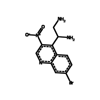 NCC(N)c1c([N+](=O)[O-])cnc2cc(Br)ccc12